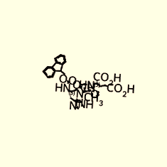 CC(C)(NC(=O)[C@H](Cc1c[nH]cn1)NC(=O)OCC1c2ccccc2-c2ccccc21)C(=O)N[C@@H](CCC(=O)O)C(=O)O